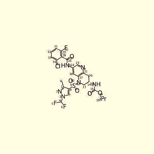 Cc1nn(C(F)F)cc1S(=O)(=O)N1C[C@@H](NC(=O)OC(C)C)Cc2ncc(NC(=O)c3c(F)cccc3Cl)cc21